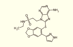 CCNS(=O)(=O)CCn1c(Sc2cc3c(cc2-c2cc[nH]n2)OCO3)nc2c(N)ncnc21